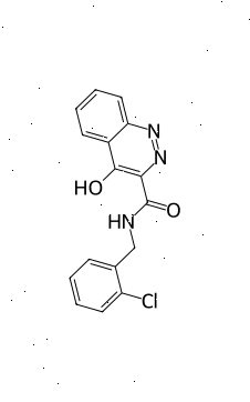 O=C(NCc1ccccc1Cl)c1nnc2ccccc2c1O